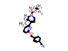 CC(C)(C)OC(=O)N1CC=C(c2cccc(OCc3ccc(C#N)cc3F)n2)C(C)(C)C1